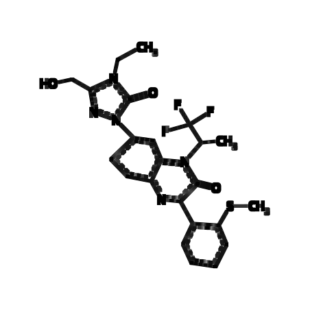 CCn1c(CO)nn(-c2ccc3nc(-c4ccccc4SC)c(=O)n(C(C)C(F)(F)F)c3c2)c1=O